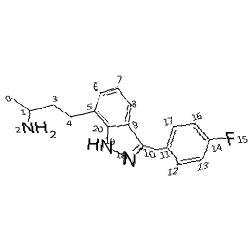 CC(N)CCc1cccc2c(-c3ccc(F)cc3)n[nH]c12